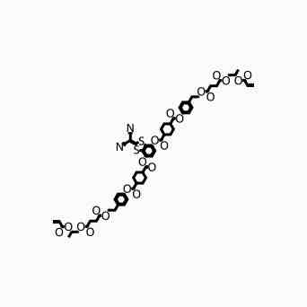 C=CC(=O)OC(C)COC(=O)CCC(=O)OCCc1ccc(OC(=O)C2CCC(C(=O)Oc3ccc(OC(=O)C4CCC(C(=O)Oc5ccc(CCOC(=O)CCC(=O)OCC(C)OC(=O)C=C)cc5)CC4)c4c3SC(=C(C#N)C#N)S4)CC2)cc1